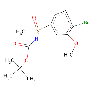 COc1cc(S(C)(=O)=NC(=O)OC(C)(C)C)ccc1Br